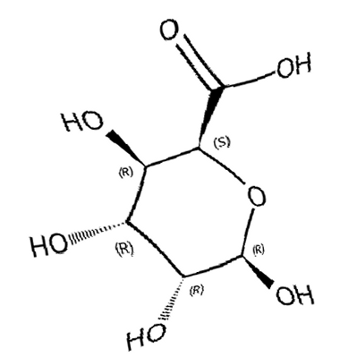 O=C(O)[C@H]1O[C@@H](O)[C@H](O)[C@H](O)[C@H]1O